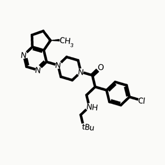 C[C@@H]1CCc2ncnc(N3CCN(C(=O)C(CNCC(C)(C)C)c4ccc(Cl)cc4)CC3)c21